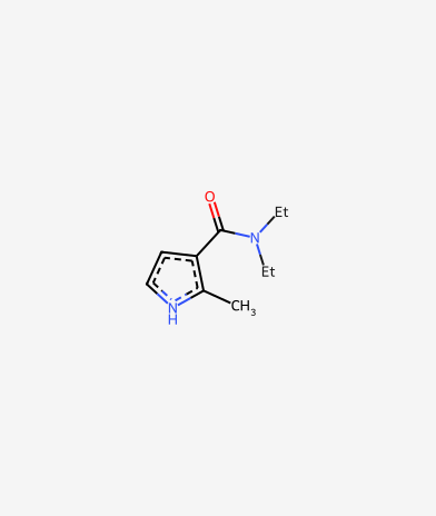 CCN(CC)C(=O)c1cc[nH]c1C